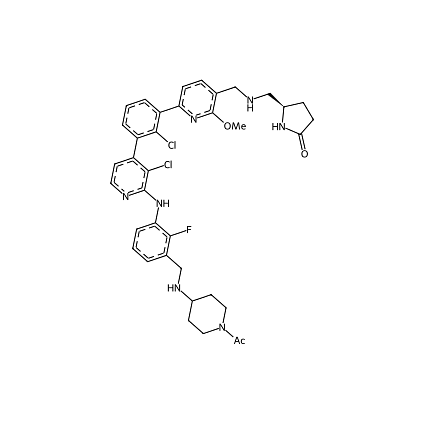 COc1nc(-c2cccc(-c3ccnc(Nc4cccc(CNC5CCN(C(C)=O)CC5)c4F)c3Cl)c2Cl)ccc1CNC[C@H]1CCC(=O)N1